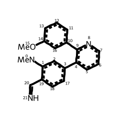 CNc1cc(-c2cccnc2-c2cccc(OC)c2)ccc1C=N